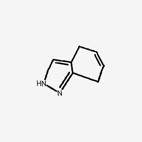 C1=CCc2n[nH]cc2C1